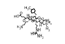 Cc1ccc(C[C@@H](NC(=O)[C@H](CCCCN)NC(=O)CCC(=O)O)C(=O)N[C@@H](CCCNC(=N)N)C(=O)N[C@H](CC(C)C)C(N)=O)cc1